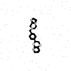 c1cnc2c(c1)OCC(c1ccc(CN3CCn4ccnc4C3)cc1)O2